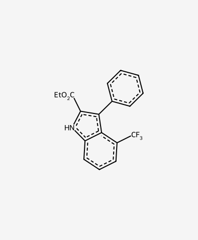 CCOC(=O)c1[nH]c2cccc(C(F)(F)F)c2c1-c1ccccc1